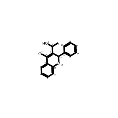 CC(O)C1=C(Cl)c2ccccc2OC1c1ccccc1